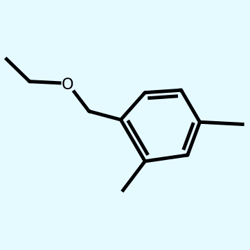 CCOCc1ccc(C)cc1C